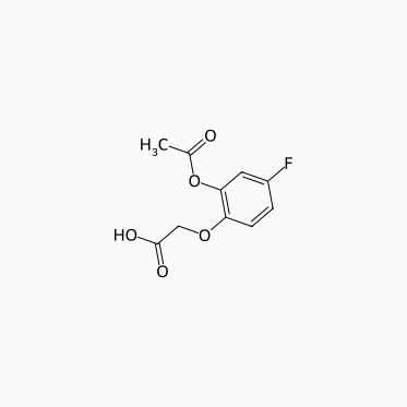 CC(=O)Oc1cc(F)ccc1OCC(=O)O